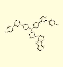 Cc1ccc(-c2cccc(-c3ccc(N(c4ccc(-c5cccc(-c6ccc(C)cc6)c5)cc4)c4cccc(-c5cccc6c5oc5ccccc56)c4)cc3)c2)cc1